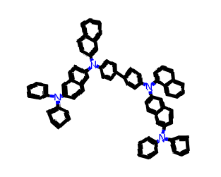 c1ccc(N(c2ccccc2)c2ccc3cc(N(c4ccc(-c5ccc(N(c6ccc7cc(N(c8ccccc8)c8ccccc8)ccc7c6)c6cccc7ccccc67)cc5)cc4)c4ccc5ccccc5c4)ccc3c2)cc1